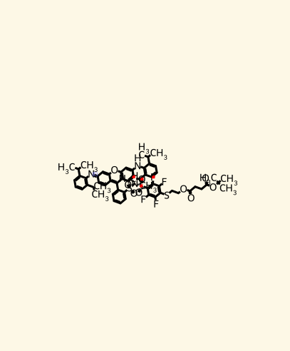 CC(C)c1cccc(C(C)C)c1/N=c1\ccc2c(-c3ccccc3S(=O)(=O)NS(=O)(=O)c3c(F)c(F)c(SCCOC(=O)CCC(=O)OC(C)(C)C)c(F)c3F)c3ccc(Nc4c(C(C)C)cccc4C(C)C)cc3oc-2c1